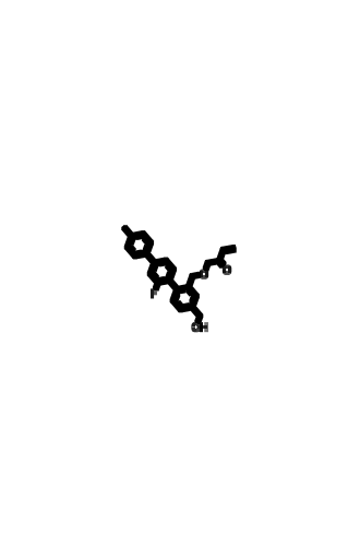 C=CC(=O)COCc1cc(CO)ccc1-c1ccc(-c2ccc(C)cc2)cc1F